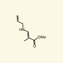 C=CCNC=C(C)C(=O)OC